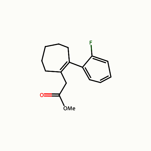 COC(=O)CC1=C(c2ccccc2F)CCCCC1